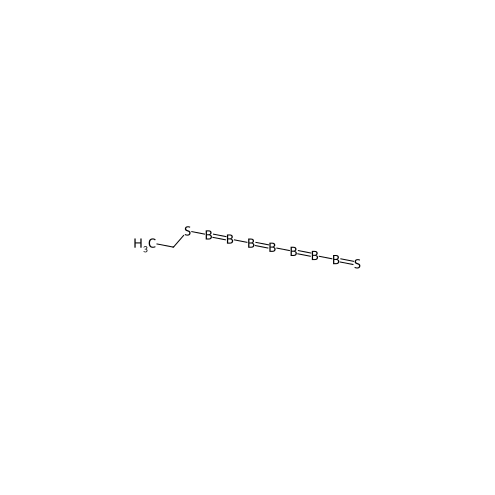 CCSB=BB=BB=BB=S